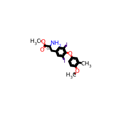 COC(=O)[C@@H](N)Cc1cc(I)c(Oc2ccc(OC)c(C)c2)c(I)c1